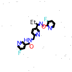 CC/C(=N/Oc1ncccc1F)c1ccc(CNC(=O)c2cncc(F)c2)nc1